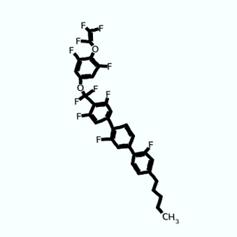 CCCCCc1ccc(-c2ccc(-c3cc(F)c(C(F)(F)Oc4cc(F)c(OC(F)=C(F)F)c(F)c4)c(F)c3)c(F)c2)c(F)c1